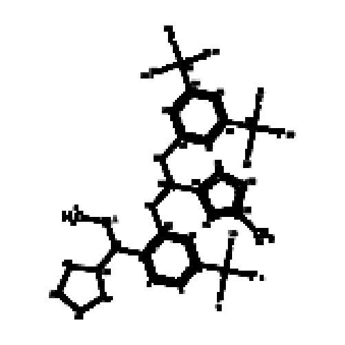 COC(c1ccc(C(F)(F)F)cc1CN(Cc1cc(C(F)(F)F)cc(C(F)(F)F)c1)c1nnn(C)n1)C1CCCC1